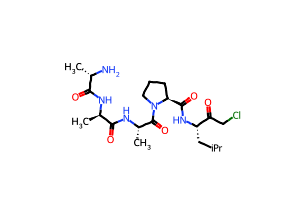 CC(C)C[C@H](NC(=O)[C@@H]1CCCN1C(=O)[C@H](C)NC(=O)[C@@H](C)NC(=O)[C@H](C)N)C(=O)CCl